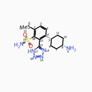 CSc1ccc([C@H]2CC[C@@H](N)CC2)c(-c2nnn[nH]2)c1S(N)(=O)=O